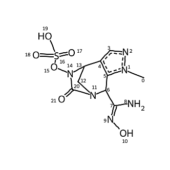 Cn1ncc2c1C(/C(N)=N/O)N1CC2N(OS(=O)(=O)O)C1=O